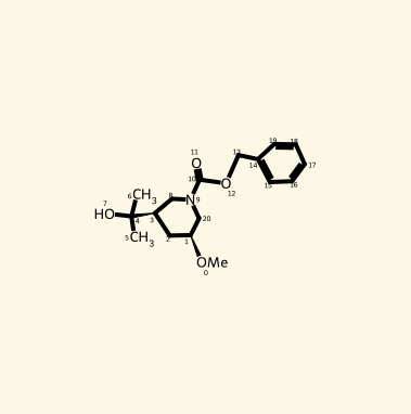 CO[C@H]1C[C@@H](C(C)(C)O)CN(C(=O)OCc2ccccc2)C1